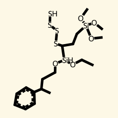 CCO[SiH](OCCC(C)c1ccccc1)C(CC[Si](OC)(OC)OC)SSSS